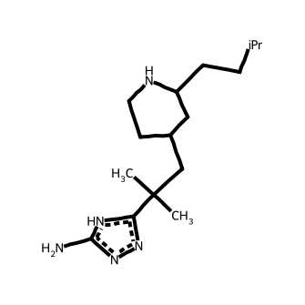 CC(C)CCC1CC(CC(C)(C)c2nnc(N)[nH]2)CCN1